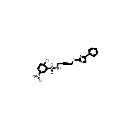 O=[N+]([O-])c1ccc(Cl)c(S(=O)(=O)NCC#CCSc2nc(-c3ccccc3)cs2)c1